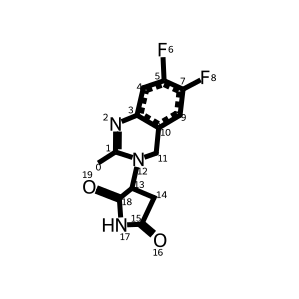 CC1=Nc2cc(F)c(F)cc2CN1C1CC(=O)NC1=O